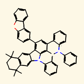 CC1(C)CCC(C)(C)c2cc3c(cc21)c1c(-c2ccc4oc5ccccc5c4c2)cc2c4c1n3-c1ccccc1B4N(c1ccccc1)c1ccccc1-2